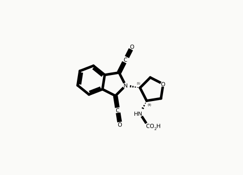 O=C=c1c2ccccc2c(=C=O)n1[C@@H]1COC[C@@H]1NC(=O)O